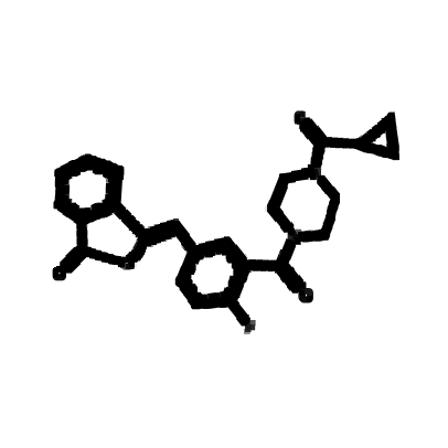 O=C1OC(=Cc2ccc(F)c(C(=O)N3CCN(C(=O)C4CC4)CC3)c2)c2ccccc21